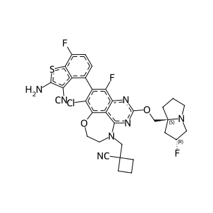 N#Cc1c(N)sc2c(F)ccc(-c3c(Cl)c4c5c(nc(OC[C@@]67CCCN6C[C@H](F)C7)nc5c3F)N(CC3(C#N)CCC3)CCO4)c12